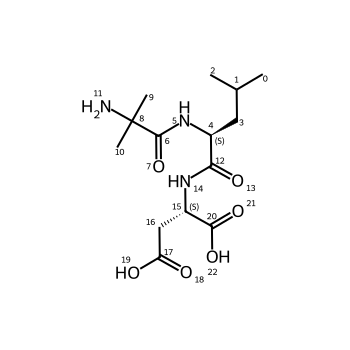 CC(C)C[C@H](NC(=O)C(C)(C)N)C(=O)N[C@@H](CC(=O)O)C(=O)O